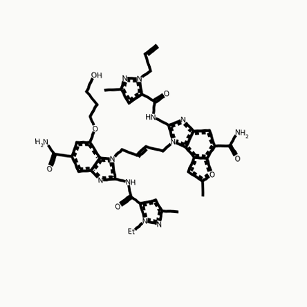 C=CCn1nc(C)cc1C(=O)Nc1nc2cc(C(N)=O)c3oc(C)cc3c2n1C/C=C/Cn1c(NC(=O)c2cc(C)nn2CC)nc2cc(C(N)=O)cc(OCCCO)c21